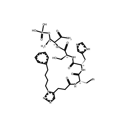 CC(C)C[C@H](NC(=O)CCc1cnnn1CCCCc1ccccc1)C(=O)N[C@@H](Cc1cnc[nH]1)C(=O)N[C@@H](CO)C(=O)N[C@H](C(N)=O)[C@@H](C)OP(=O)(O)O